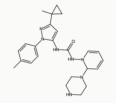 Cc1ccc(-n2nc(C3(C)CC3)cc2NC(=O)NN2C=CC=CC2N2CCNCC2)cc1